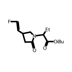 CCC(C(=O)OCC(C)C)N1CC(C=CF)CC1=O